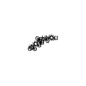 O=C(NC[C@@H]1OC(=O)N2c3ccc(N4CCOCC4=O)cc3OC[C@@H]12)Nc1ccc(Cl)cc1